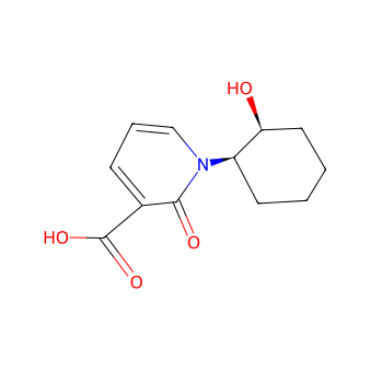 O=C(O)c1cccn([C@@H]2CCCC[C@@H]2O)c1=O